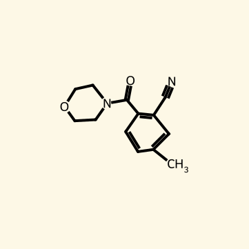 Cc1ccc(C(=O)N2CCOCC2)c(C#N)c1